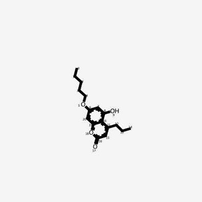 CCCCCOc1cc(O)c2c(CCC)cc(=O)oc2c1